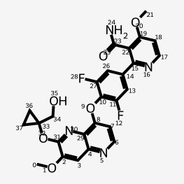 COc1cc2nccc(Oc3c(F)cc(-c4nccc(OC)c4C(N)=O)cc3F)c2nc1OC1(CO)CC1